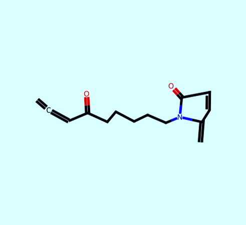 C=C=CC(=O)CCCCCN1C(=C)C=CC1=O